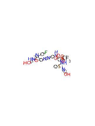 Cc1c(C(=O)NC2CC(C)(O)C2)c(-c2cccc(N3CCN(c4ccc(NS(=O)(=O)c5ccc(N[C@H](CCN6CCC(C)(O)CC6)CSc6ccccc6)c(S(=O)(=O)C(F)(F)F)c5)cc4)CC3)c2)c(-c2ccc(F)cc2)n1C